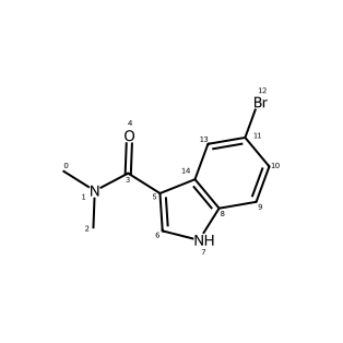 CN(C)C(=O)c1c[nH]c2ccc(Br)cc12